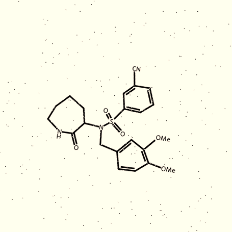 COc1ccc(CN(C2CCCCNC2=O)S(=O)(=O)c2cccc(C#N)c2)cc1OC